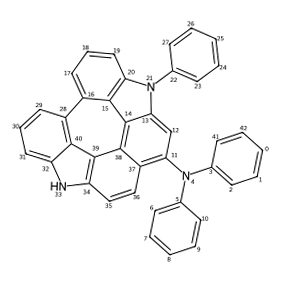 c1ccc(N(c2ccccc2)c2cc3c4c5c(cccc5n3-c3ccccc3)-c3cccc5[nH]c6ccc2c4c6c35)cc1